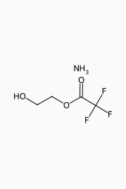 N.O=C(OCCO)C(F)(F)F